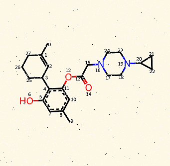 CC1=CC(c2c(O)cc(C)cc2OC(=O)CN2CCN(C3CC3)CC2)CCC1